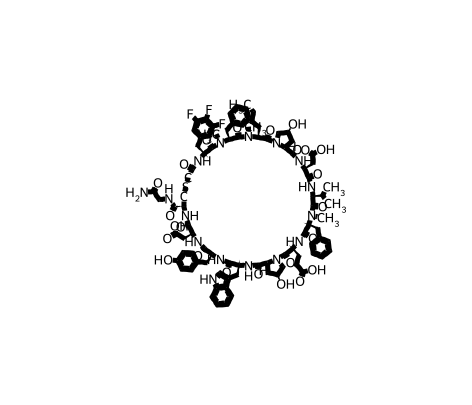 CCCC[C@H]1C(=O)N2C[C@H](O)C[C@@H]2C(=O)N[C@@H](CC(=O)O)C(=O)N[C@@H](C(C)C)C(=O)N(C)[C@@H](Cc2ccccc2)C(=O)N[C@@H](CCC(=O)O)C(=O)N2C[C@H](O)C[C@H]2C(=O)N[C@@H](Cc2c[nH]c3ccccc23)C(=O)N[C@@H](Cc2ccc(O)cc2)C(=O)N[C@@H](CC(=O)O)C(=O)N[C@H](C(=O)NCC(N)=O)CSCC(=O)N[C@@H](Cc2cc(F)c(F)c(F)c2)C(=O)N(C)[C@@H](Cc2ccccc2)C(=O)N1C